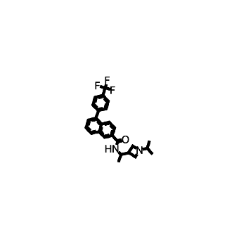 CC(NC(=O)c1ccc2c(-c3ccc(C(F)(F)F)cc3)cccc2c1)C1CN(C(C)C)C1